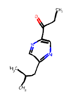 CCC(=O)c1cnc(CC(C)C)cn1